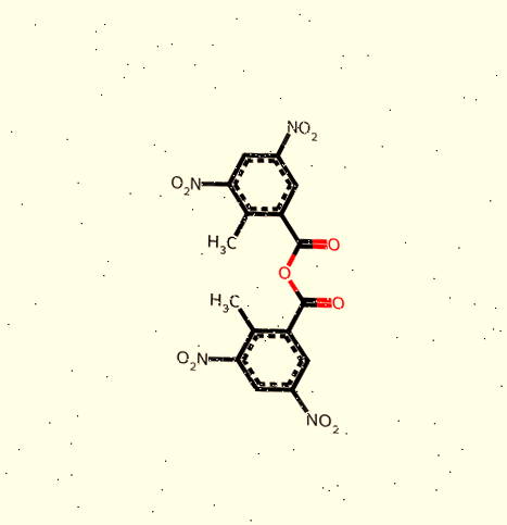 Cc1c(C(=O)OC(=O)c2cc([N+](=O)[O-])cc([N+](=O)[O-])c2C)cc([N+](=O)[O-])cc1[N+](=O)[O-]